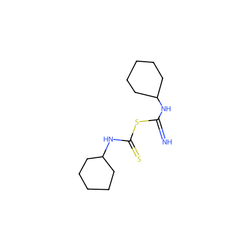 N=C(NC1CCCCC1)SC(=S)NC1CCCCC1